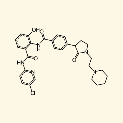 O=C(Nc1c(O)cccc1C(=O)Nc1ccc(Cl)cn1)c1ccc(C2CCN(CCN3CCCCC3)C2=O)cc1